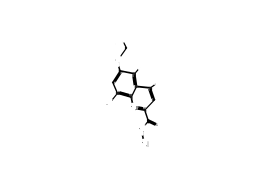 Bc1cc(C(=O)NN)nc2c(C(C)(C)C)cc(NCC(F)(F)F)c(Cl)c12